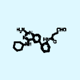 Nc1nc(NC2CCCCC2)c2cc(-c3ccccc3NC(=O)CCC=O)ccc2n1